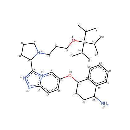 CC(C)[Si](OCCCN1CCCC1c1nnc2ccc(OC3CCC(N)c4ccccc43)cn12)(C(C)C)C(C)C